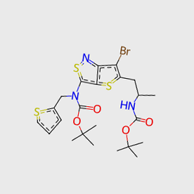 CC(Cc1sc2c(N(Cc3cccs3)C(=O)OC(C)(C)C)snc2c1Br)NC(=O)OC(C)(C)C